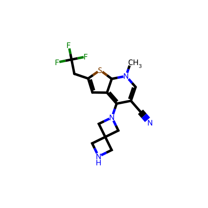 CN1C=C(C#N)C(N2CC3(CNC3)C2)=C2C=C(CC(F)(F)F)SC21